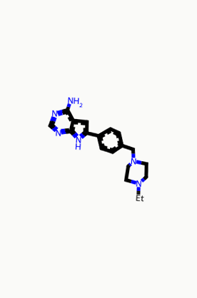 CCN1CCN(Cc2ccc(-c3cc4c(N)ncnc4[nH]3)cc2)CC1